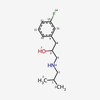 CC(C)CNCC(O)Cc1cccc(F)c1